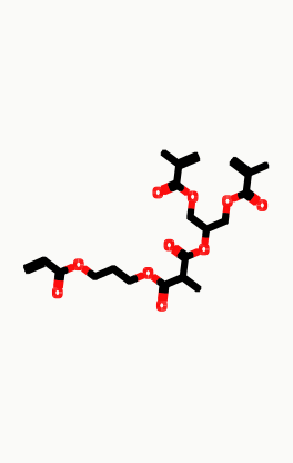 C=CC(=O)OCCCOC(=O)C(C)C(=O)OC(COC(=O)C(=C)C)COC(=O)C(=C)C